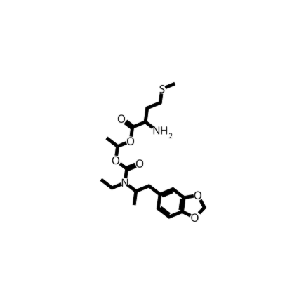 CCN(C(=O)OC(C)OC(=O)C(N)CCSC)C(C)Cc1ccc2c(c1)OCO2